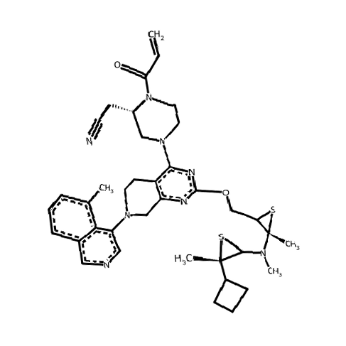 C=CC(=O)N1CCN(c2nc(OCC3S[C@]3(C)N(C)C3S[C@@]3(C)C3CCC3)nc3c2CCN(c2cncc4cccc(C)c24)C3)C[C@@H]1CC#N